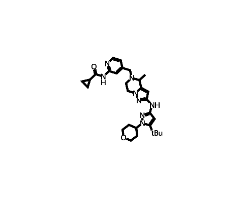 CC1c2cc(Nc3cc(C(C)(C)C)n(C4CCOCC4)n3)nn2CCN1Cc1ccnc(NC(=O)C2CC2)c1